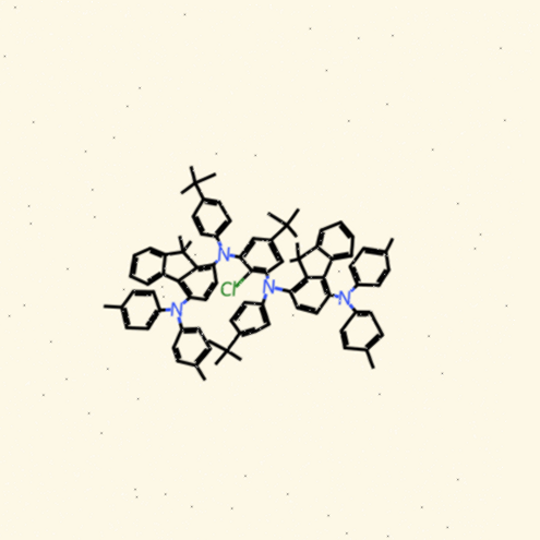 Cc1ccc(N(c2ccc(C)cc2)c2ccc(N(c3ccc(C(C)(C)C)cc3)c3cc(C(C)(C)C)cc(N(c4ccc(C(C)(C)C)cc4)c4ccc(N(c5ccc(C)cc5)c5ccc(C)cc5)c5c4C(C)(C)c4ccccc4-5)c3Cl)c3c2-c2ccccc2C3(C)C)cc1